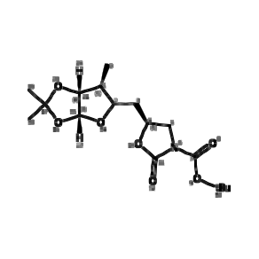 C[C@H]1C(C[C@H]2CN(C(=O)OC(C)(C)C)C(=O)O2)O[C@@H]2OC(C)(C)O[C@@H]21